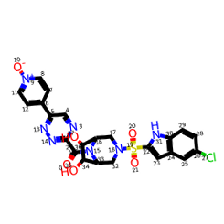 O=C(c1ncc(-c2cc[n+]([O-])cc2)nn1)N1C2CN(S(=O)(=O)c3cc4cc(Cl)ccc4[nH]3)CC1C(O)C2O